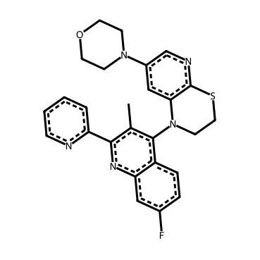 Cc1c(-c2ccccn2)nc2cc(F)ccc2c1N1CCSc2ncc(N3CCOCC3)cc21